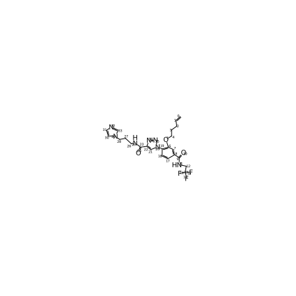 C=CCCCOc1cc(C(=O)NCC(F)(F)F)ccc1-n1cc(C(=O)NCCCn2ccnc2)nn1